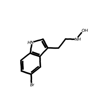 ONCCc1c[nH]c2ccc(Br)cc12